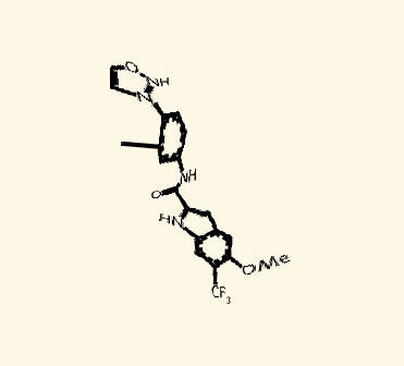 COc1cc2c(cc1C(F)(F)F)NC(C(=O)Nc1ccc(N3C=CON3)c(C)c1)C2